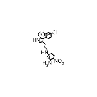 Nc1nc(NCCCc2c[nH]c(C(=O)O)c2-c2ccc(Cl)cc2Cl)ccc1[N+](=O)[O-]